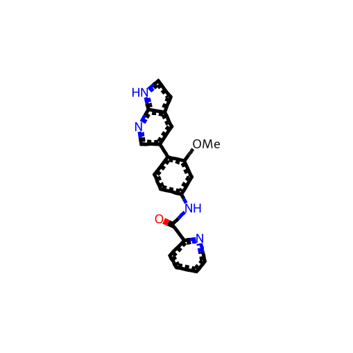 COc1cc(NC(=O)c2ccccn2)ccc1-c1cnc2[nH]ccc2c1